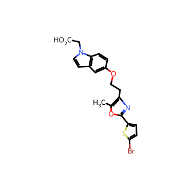 Cc1oc(-c2ccc(Br)s2)nc1CCOc1ccc2c(ccn2CC(=O)O)c1